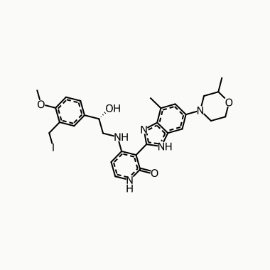 COc1ccc([C@H](O)CNc2cc[nH]c(=O)c2-c2nc3c(C)cc(N4CCOC(C)C4)cc3[nH]2)cc1CI